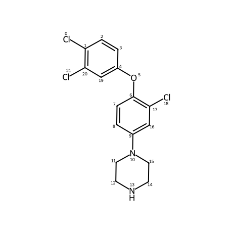 Clc1ccc(Oc2ccc(N3CCNCC3)cc2Cl)cc1Cl